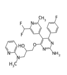 Cc1cc(-c2c(OCC(O)CN(C)c3ccccn3)nc(N)nc2-c2ccc(F)cc2)cc(C(F)F)n1